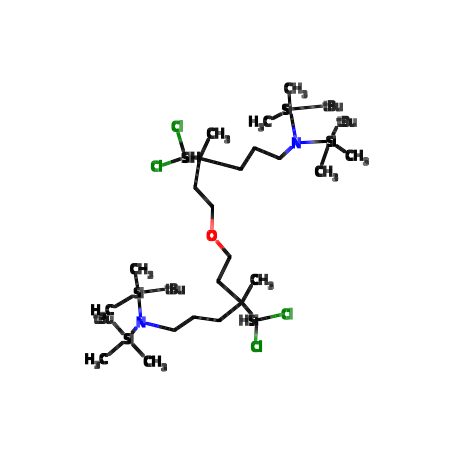 CC(CCCN([Si](C)(C)C(C)(C)C)[Si](C)(C)C(C)(C)C)(CCOCCC(C)(CCCN([Si](C)(C)C(C)(C)C)[Si](C)(C)C(C)(C)C)[SiH](Cl)Cl)[SiH](Cl)Cl